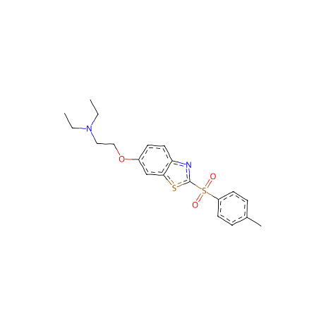 CCN(CC)CCOc1ccc2nc(S(=O)(=O)c3ccc(C)cc3)sc2c1